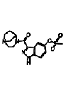 CS(=O)(=O)Oc1ccc2[nH]nc(C(=O)N3CCN4CCC3C4)c2c1